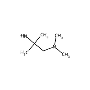 CN(C)CC(C)(C)[NH]